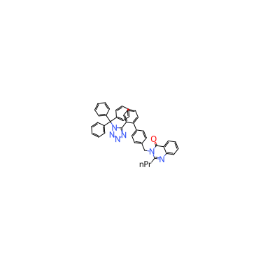 CCCc1nc2ccccc2c(=O)n1Cc1ccc(-c2ccccc2-c2nnnn2C(c2ccccc2)(c2ccccc2)c2ccccc2)cc1